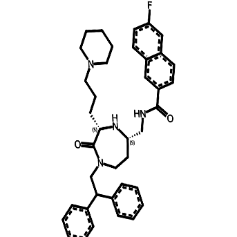 O=C(NC[C@@H]1CCN(CC(c2ccccc2)c2ccccc2)C(=O)[C@H](CCCN2CCCCC2)N1)c1ccc2cc(F)ccc2c1